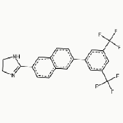 FC(F)(F)c1cc(-c2ccc3cc(C4=NCCN4)ccc3c2)cc(C(F)(F)F)c1